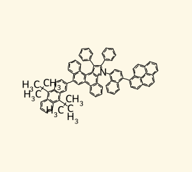 CC(C)(C)c1c2ccccc2c(C(C)(C)C)c2cc(-c3cc4c5ccccc5c5c(c(-c6ccccc6)c(-c6ccccc6)n5-c5ccc(-c6ccc7ccc8cccc9ccc6c7c89)c6ccccc56)c4c4ccccc34)ccc12